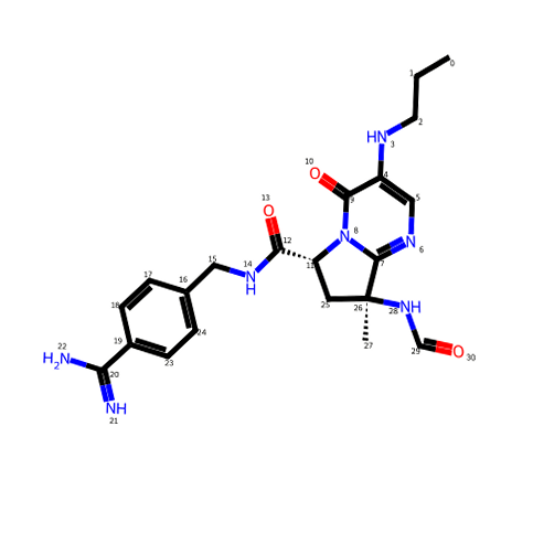 CCCNc1cnc2n(c1=O)[C@@H](C(=O)NCc1ccc(C(=N)N)cc1)C[C@]2(C)NC=O